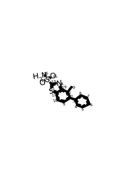 Cc1c(-c2ccccc2)ccc2sc(S(N)(=O)=O)nc12